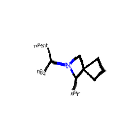 CCCCCC(CCCC)N1CC2(CCC2)C1C(C)C